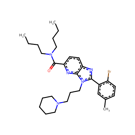 CCCCN(CCCC)C(=O)c1ccc2nc(-c3cc(C)ccc3Br)n(CCCN3CCCCC3)c2n1